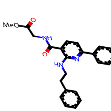 COC(=O)CNC(=O)c1ccc(-c2ccccc2)nc1NCCc1ccccc1